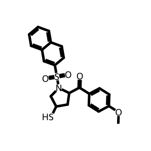 COc1ccc(C(=O)C2CC(S)CN2S(=O)(=O)c2ccc3ccccc3c2)cc1